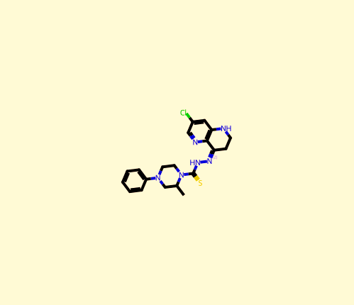 CC1CN(c2ccccc2)CCN1C(=S)N/N=C1/CCNc2cc(Cl)cnc21